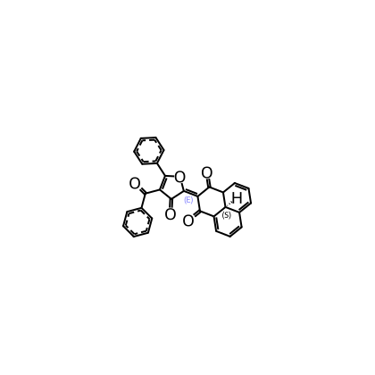 O=C1C(C(=O)c2ccccc2)=C(c2ccccc2)O/C1=C1/C(=O)C2=CC=CC3=CC=CC(C1=O)[C@@H]32